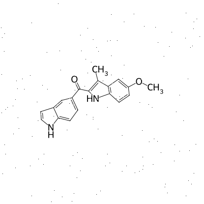 COc1ccc2[nH]c(C(=O)c3ccc4[nH]ccc4c3)c(C)c2c1